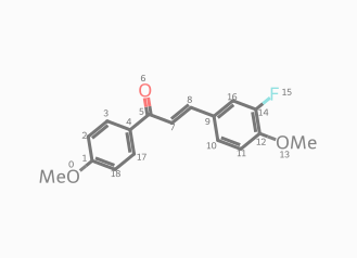 COc1ccc(C(=O)/C=C/c2ccc(OC)c(F)c2)cc1